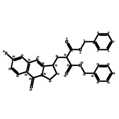 O=C(OCc1ccccc1)C(CC1CCn2c1nc1cc(F)ccc1c2=O)C(=O)OCc1ccccc1